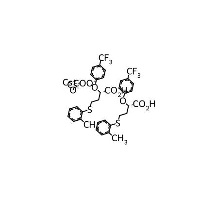 Cc1ccccc1SCC[C@H](Oc1ccc(C(F)(F)F)cc1)C(=O)O.Cc1ccccc1SCC[C@H](Oc1ccc(C(F)(F)F)cc1)C(=O)O.O=C([O-])[O-].[Cs+].[Cs+]